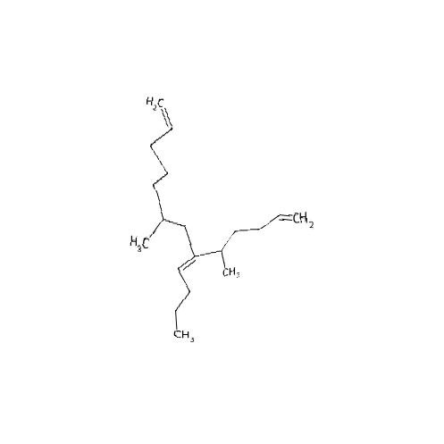 C=CCCCC(C)CC(=CCCC)C(C)CCC=C